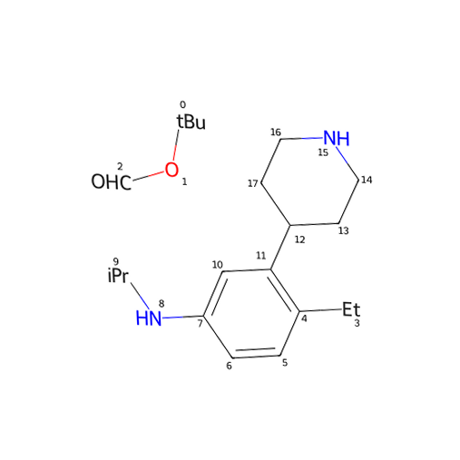 CC(C)(C)OC=O.CCc1ccc(NC(C)C)cc1C1CCNCC1